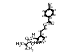 CC(C)S(=O)(=O)Nc1[nH]ncc1CCOC(=O)c1ccc(Br)cc1